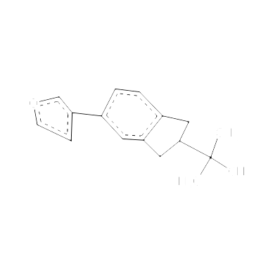 CC(C)(C)C1Cc2ccc(-c3ccoc3)cc2C1